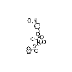 O=C(S[C@@H]1CC(=O)N1C(Cl)C(=O)OCc1ccc([N+](=O)[O-])cc1)c1ccco1